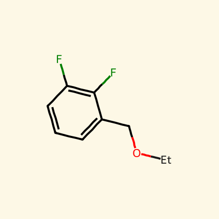 [CH2]COCc1cccc(F)c1F